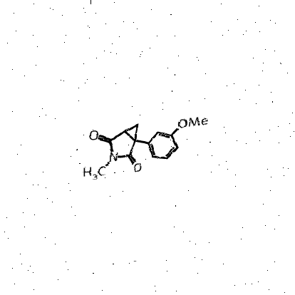 COc1cccc(C23CC2C(=O)N(C)C3=O)c1